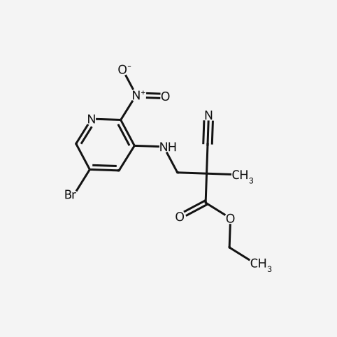 CCOC(=O)C(C)(C#N)CNc1cc(Br)cnc1[N+](=O)[O-]